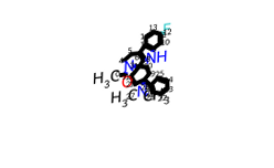 CC(=O)N1CCc2c([nH]c3cc(F)ccc23)C12CCC(c1ccccc1)(N(C)C)CC2